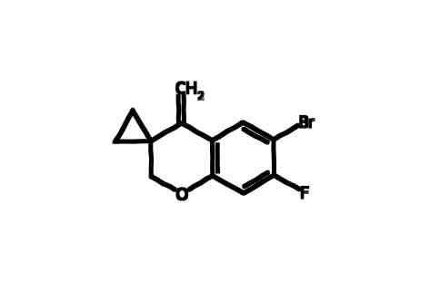 C=C1c2cc(Br)c(F)cc2OCC12CC2